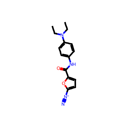 CCN(CC)c1ccc(NC(=O)c2ccc([N+]#N)o2)cc1